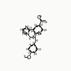 COc1ccc(CN2Cn3ncnc3-c3cc(C(C)=O)cnc32)cc1